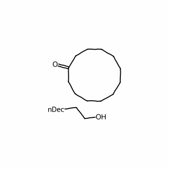 CCCCCCCCCCCCO.O=C1CCCCCCCCCCC1